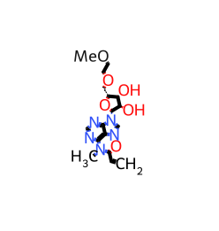 C=CC(=O)N(C)c1ncnc2c1ncn2[C@@H]1O[C@H](COCCOC)[C@@H](O)[C@H]1O